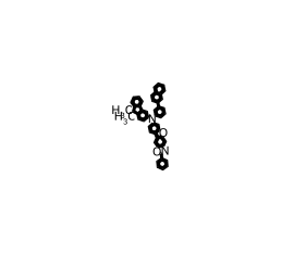 CC1(C)c2ccccc2-c2cc(N(c3cccc(-c4ccc5ccccc5c4)c3)c3ccc4c(c3)oc3cc5nc(-c6ccccc6)oc5cc34)ccc21